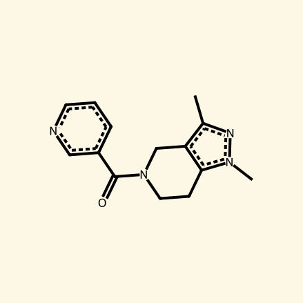 Cc1nn(C)c2c1CN(C(=O)c1cccnc1)CC2